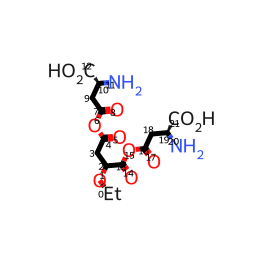 CCOC(CC(=O)OC(=O)C[C@H](N)C(=O)O)C(=O)OC(=O)C[C@H](N)C(=O)O